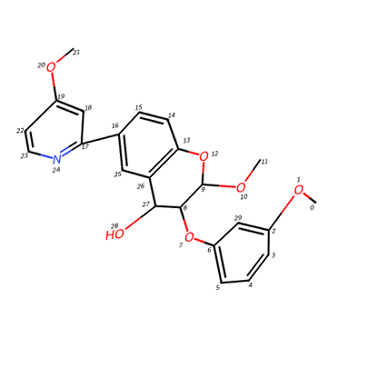 COc1cccc(OC2C(OC)Oc3ccc(-c4cc(OC)ccn4)cc3C2O)c1